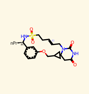 CCC[C@@H](NS(=O)(=O)CC/C=C/CN1CCC(=O)NC1=O)c1cccc(OCC2CC2)c1